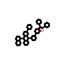 c1ccc(-c2ccc3c(-c4cccc5ccccc45)c4ccccc4c(-c4cccc(-c5ccc6c(-c7ccccc7)c(-c7ccccc7)oc6c5)c4)c3c2)cc1